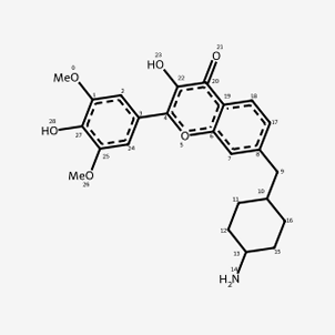 COc1cc(-c2oc3cc(CC4CCC(N)CC4)ccc3c(=O)c2O)cc(OC)c1O